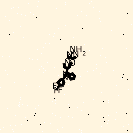 Nc1nccc(Cn2ccc(-c3nn(-c4ccc(C(F)(F)F)cc4)c4ccccc34)cc2=O)n1